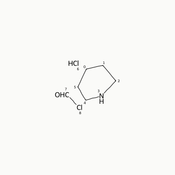 C1CCNCC1.Cl.O=CCl